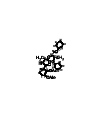 COc1ccnc(C(=O)N[C@@H](C)C(=O)O[C@H](COc2ccccc2)[C@H](C)Oc2ccccc2)c1OC(C)=O